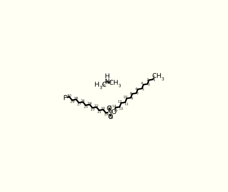 CCCCCCCCCCCCCCCOS(=O)(=O)CCCCCCCCCCCCF.CNC